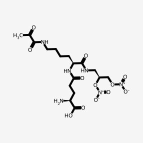 CC(=O)C(=O)NCCCC[C@H](NC(=O)CC[C@H](N)C(=O)O)C(=O)NC[C@@H](CO[N+](=O)[O-])O[N+](=O)[O-]